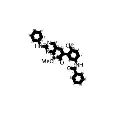 COn1c(=O)c(-c2cc(NC(=O)c3ccccc3)ccc2Cl)cc2cnc(Nc3ccccc3)nc21